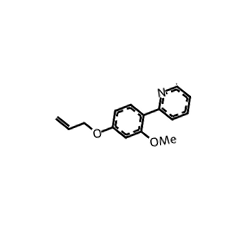 C=CCOc1ccc(-c2ccc[c]n2)c(OC)c1